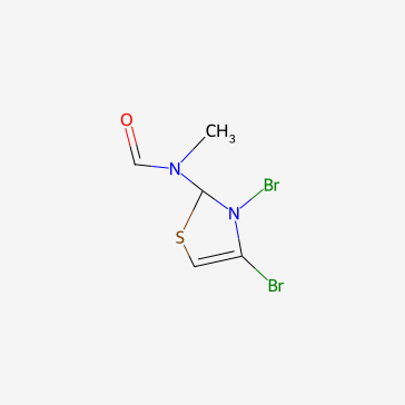 CN(C=O)C1SC=C(Br)N1Br